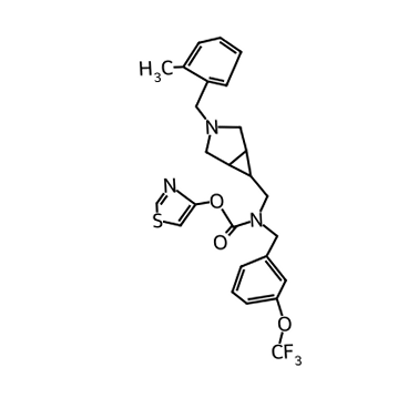 Cc1ccccc1CN1CC2C(C1)C2CN(Cc1cccc(OC(F)(F)F)c1)C(=O)Oc1cscn1